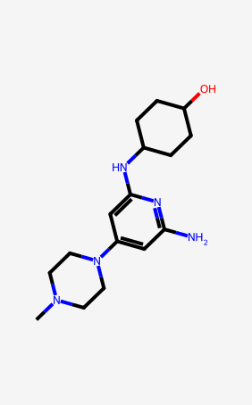 CN1CCN(c2cc(N)nc(NC3CCC(O)CC3)c2)CC1